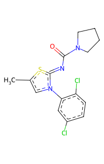 Cc1cn(-c2cc(Cl)ccc2Cl)/c(=N/C(=O)N2CCCC2)s1